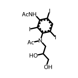 CC(=O)Nc1c(I)cc(I)c(N(CC(O)CO)C(C)=O)c1I